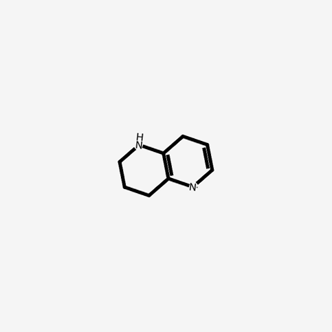 C1=C[N]C2=C(C1)NCCC2